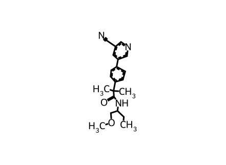 CCC(COC)NC(=O)C(C)(C)c1ccc(-c2cncc(C#N)c2)cc1